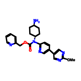 COc1ncc(-c2ccc(N(C(=O)OCc3ccccn3)[C@H]3CC[C@H](N)CC3)nc2)cn1